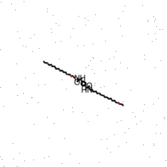 CCCCCCCCCCCCCCCCCCNC(=O)C(C)c1ccc(C(C)C(=O)NCCCCCCCCCCCCCCCCCC)cc1